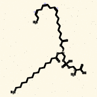 CC/C=C\C/C=C\C/C=C\CCCCCCCC(=O)OC[C@H](COP(=O)(O)OC[C@H](N)C(=O)O)OC(=O)CCCCCCCCCCCCCC